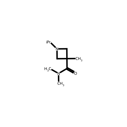 CC(C)N1CC(C)(C(=O)N(C)C)C1